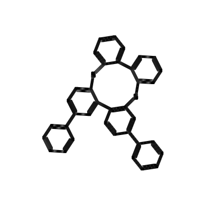 c1ccc(-c2ccc3c(c2)Sc2ccccc2-c2ccccc2Sc2ccc(-c4ccccc4)cc2-3)cc1